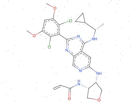 C=CC(=O)N[C@H]1COC[C@H]1Nc1cc2c(N[C@@H](C)C3CC3)nc(-c3c(Cl)c(OC)cc(OC)c3Cl)nc2cn1